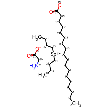 CCCCCCCCCCCCCCCCCC(=O)[O-].CCC[CH2][Sn+2][CH2]CCC.NCC(=O)[O-]